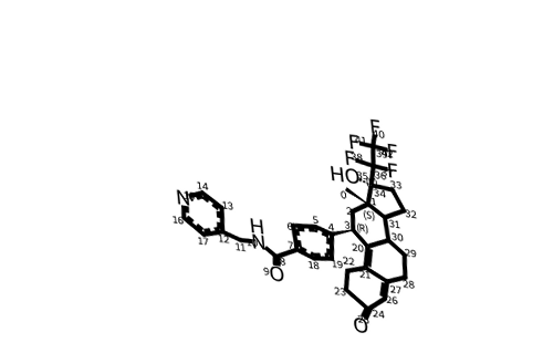 C[C@]12C[C@H](c3ccc(C(=O)NCc4ccncc4)cc3)C3=C4CCC(=O)C=C4CCC3C1CC[C@]2(O)C(F)(F)C(F)(F)F